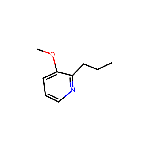 [CH2]CCc1ncccc1OC